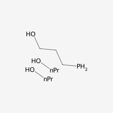 CCCO.CCCO.OCCCP